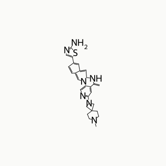 C=C(Nc1cc2cc(-c3cnc(N)s3)ccc2cn1)c1ccnc(N2CC3(CCN(C)CC3)C2)c1